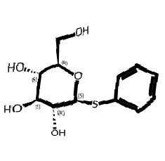 OC[C@H]1O[C@@H](Sc2ccccc2)[C@H](O)[C@@H](O)[C@@H]1O